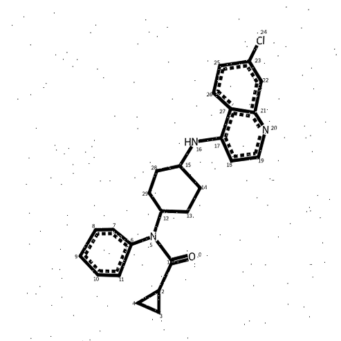 O=C(C1CC1)N(c1ccccc1)C1CCC(Nc2ccnc3cc(Cl)ccc23)CC1